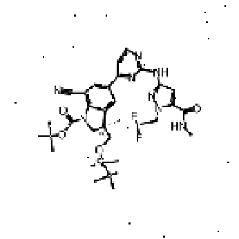 CNC(=O)c1cc(Nc2nccc(-c3cc(C#N)c4c(c3)[C@@](C)(CO[Si](C)(C)C(C)(C)C)CN4C(=O)OC(C)(C)C)n2)nn1CC(F)F